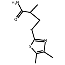 Cc1nc([CH]CC(C)C(N)=O)sc1C